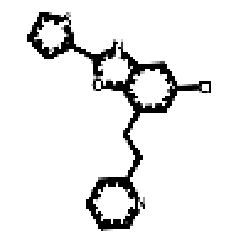 Clc1cc(CCc2ccccn2)c2oc(-c3cccs3)nc2c1